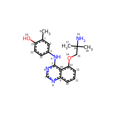 Cc1cc(Nc2ncnc3cccc(OCC(C)(C)N)c23)ccc1O